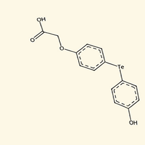 O=C(O)COc1ccc([Te]c2ccc(O)cc2)cc1